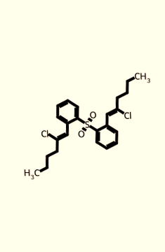 CCCC/C(Cl)=C/c1ccccc1S(=O)(=O)c1ccccc1/C=C(\Cl)CCCC